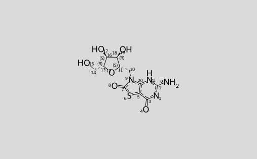 Nc1nc(=O)c2sc(=O)n(C[C@@H]3O[C@H](CO)[C@@H](O)[C@H]3O)c2[nH]1